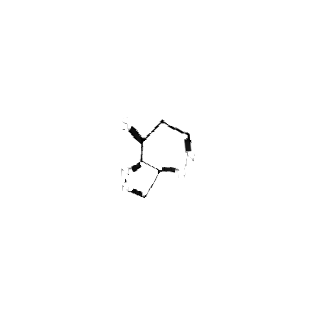 S=C1CC=NN=C2C=NN=C12